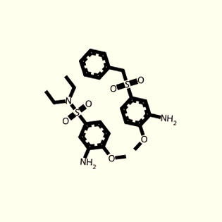 CCN(CC)S(=O)(=O)c1ccc(OC)c(N)c1.COc1ccc(S(=O)(=O)Cc2ccccc2)cc1N